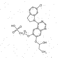 CCC(O)Oc1cc2ncnc(N3CCc4ccc(Cl)cc43)c2cc1OC.CS(=O)(=O)O